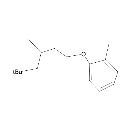 Cc1ccccc1OCCC(C)CC(C)(C)C